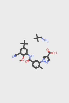 CC(C)(C)CN.COc1c(C#N)cc(C(C)(C)C)cc1NC(=O)c1ccc(C)c(-n2cc(C(=O)O)cn2)c1